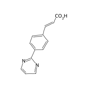 O=C(O)C=Cc1ccc(-c2ncccn2)cc1